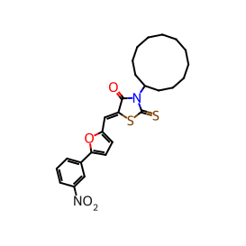 O=C1C(=Cc2ccc(-c3cccc([N+](=O)[O-])c3)o2)SC(=S)N1C1CCCCCCCCCCC1